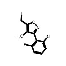 Cc1c(-c2c(F)cccc2Cl)noc1CI